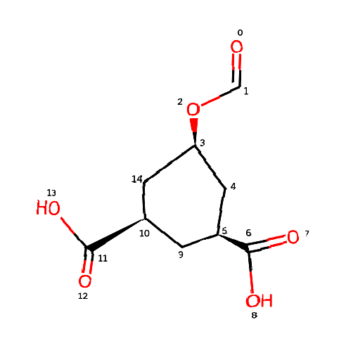 O=CO[C@H]1C[C@@H](C(=O)O)C[C@@H](C(=O)O)C1